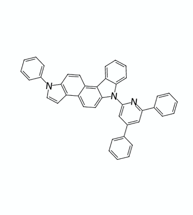 c1ccc(-c2cc(-c3ccccc3)nc(-n3c4ccccc4c4c5ccc6c(ccn6-c6ccccc6)c5ccc43)c2)cc1